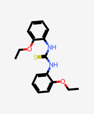 CCOc1ccccc1NC(=S)Nc1ccccc1OCC